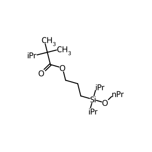 CCCO[Si](CCCOC(=O)C(C)(C)C(C)C)(C(C)C)C(C)C